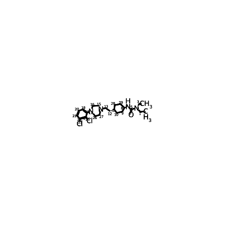 CCN(CC)C(=O)N[C@H]1CC[C@H](CCN2CCN(c3cccc(Cl)c3Cl)CC2)CC1